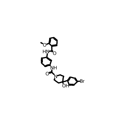 COc1ccccc1C(=O)Nc1cccc(NC(=O)N2CCC(O)(c3ccc(Br)cc3)CC2)c1